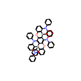 c1ccc(N2c3cccc4c3[Si]3(c5ccccc5)c5c2cccc5N(c2ccccc2)c2c5c6c(c(c23)O4)N(c2ccccc2)c2cccc3c2[Si]6(c2ccccc2)c2c(cccc2N3c2ccccc2)O5)cc1